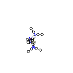 CC12CCC(c3nc4c(-c5ccc(N(c6ccc(-c7ccccc7)cc6)c6ccc(-c7ccccc7)cc6)cc5)sc(-c5ccc(N(C6=CCC(c7ccccc7)C=C6)c6ccc(-c7ccccc7)cc6)cc5)c4nc31)C2(C)C